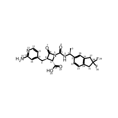 C[C@H](NC(=O)N1C(=O)[C@H](Cc2ccnc(N)c2)[C@H]1C(=O)O)c1ccc2c(c1)CC(F)(F)C2